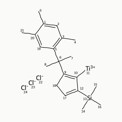 Cc1cc(C)c(C(C)(C)C2=[C]([Ti+3])C([Si](C)(C)C)=CC2)cc1C.[Cl-].[Cl-].[Cl-]